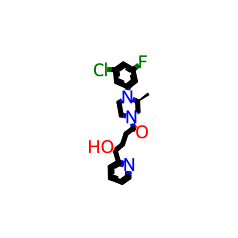 C[C@H]1CN(C(=O)CCC(O)c2ccccn2)CCN1c1cc(F)cc(Cl)c1